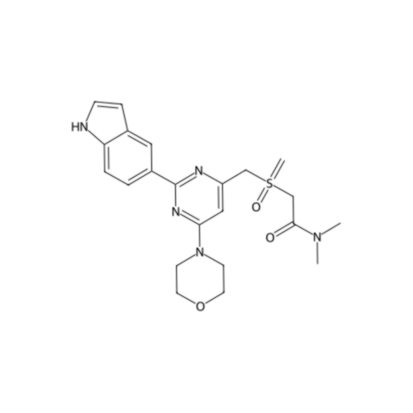 C=S(=O)(CC(=O)N(C)C)Cc1cc(N2CCOCC2)nc(-c2ccc3[nH]ccc3c2)n1